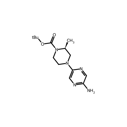 C[C@H]1CN(c2cnc(N)cn2)CCN1C(=O)OC(C)(C)C